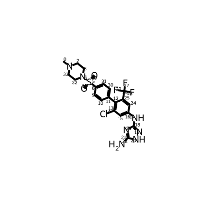 CN1CCN(S(=O)(=O)c2ccc(-c3c(Cl)cc(Nc4n[nH]c(N)n4)cc3C(F)(F)F)cc2)CC1